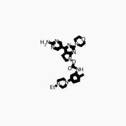 CCN1CCN(c2ccc(C)c(NC(=O)ON3CCc4c(-c5cnc(N)nc5)nc(N5CCOCC5)nc43)c2)CC1